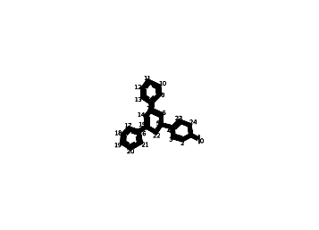 IC1C=CC(C2C=C(c3ccccc3)C=C(c3ccccc3)C2)=CC1